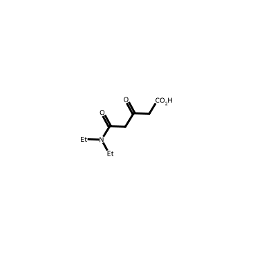 CCN(CC)C(=O)CC(=O)CC(=O)O